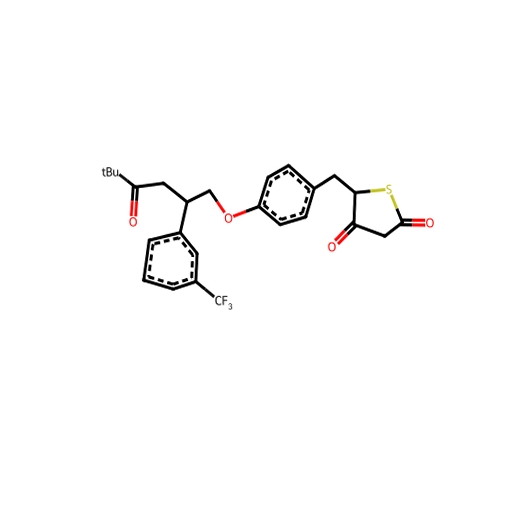 CC(C)(C)C(=O)CC(COc1ccc(CC2SC(=O)CC2=O)cc1)c1cccc(C(F)(F)F)c1